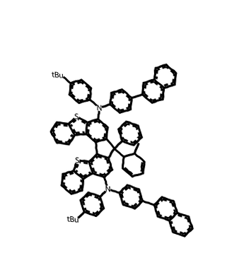 CC1C=CC=CC1C1(c2ccccc2)c2cc(N(c3ccc(-c4ccc5ccccc5c4)cc3)c3ccc(C(C)(C)C)cc3)c3c(sc4ccccc43)c2-c2c1cc(N(c1ccc(-c3ccc4ccccc4c3)cc1)c1ccc(C(C)(C)C)cc1)c1sc3ccccc3c21